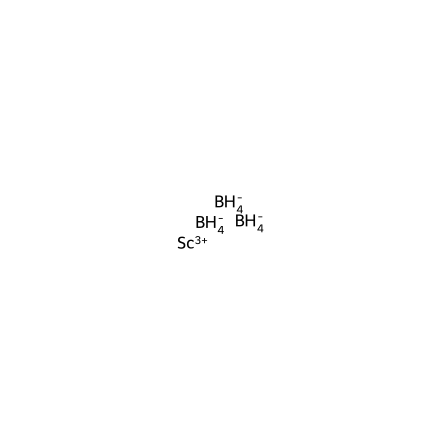 [BH4-].[BH4-].[BH4-].[Sc+3]